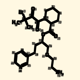 CCC(C)(C)C(=O)C(=O)N1CCCC[C@H]1C(=O)O[C@H](CCc1cccnc1)COCCN